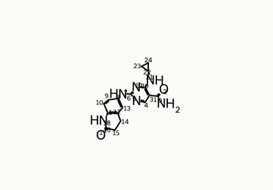 NC(=O)c1cnc(Nc2ccc3c(c2)CCC(=O)N3)nc1NC1CC1